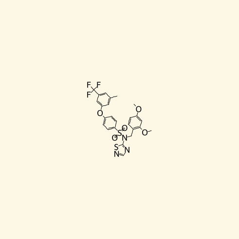 COc1ccc(CN(c2ncns2)S(=O)(=O)c2ccc(Oc3cc(C)cc(C(F)(F)F)c3)cc2)c(OC)c1